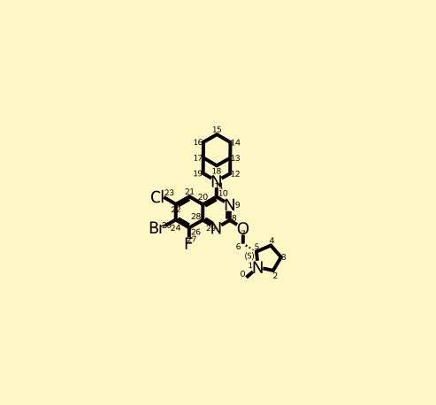 CN1CCC[C@H]1COc1nc(N2CC3CCCC(C3)C2)c2cc(Cl)c(Br)c(F)c2n1